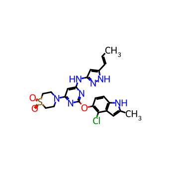 C/C=C/c1cc(Nc2cc(N3CCS(=O)(=O)CC3)nc(Oc3ccc4[nH]c(C)cc4c3Cl)n2)n[nH]1